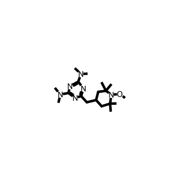 CON1C(C)(C)CC(Cc2nc(N(C)C)nc(N(C)C)n2)CC1(C)C